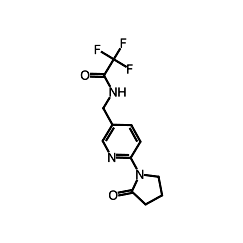 O=C1CCCN1c1ccc(CNC(=O)C(F)(F)F)cn1